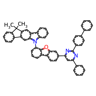 CC1(C)c2ccccc2-c2cc3c(cc21)c1ccccc1n3-c1cccc2c1oc1cc(-c3cc(-c4ccccc4)nc(-c4ccc(-c5ccccc5)cc4)n3)ccc12